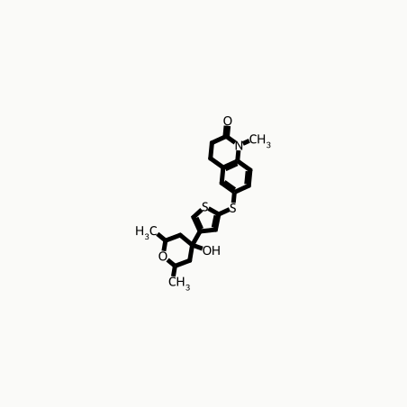 CC1CC(O)(c2csc(Sc3ccc4c(c3)CCC(=O)N4C)c2)CC(C)O1